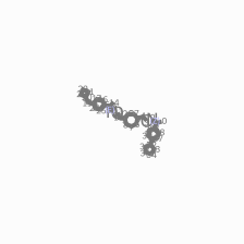 C/C(=N/OCC1CCCC(CO/N=C(\C)c2ccc(CC3CCC3)cc2)CC1)c1ccc(C2CCCC2)cc1